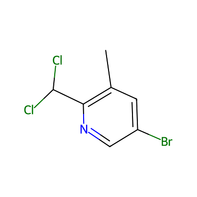 Cc1cc(Br)cnc1C(Cl)Cl